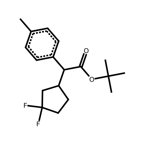 Cc1ccc(C(C(=O)OC(C)(C)C)C2CCC(F)(F)C2)cc1